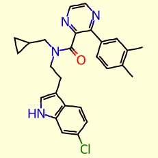 Cc1ccc(-c2nccnc2C(=O)N(CCc2c[nH]c3cc(Cl)ccc23)CC2CC2)cc1C